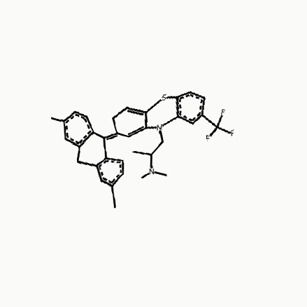 Cc1ccc2c(c1)Cc1cc(C)ccc1C2=C1C=C2C(=CC1)Sc1ccc(C(F)(F)F)cc1N2CC(C)N(C)C